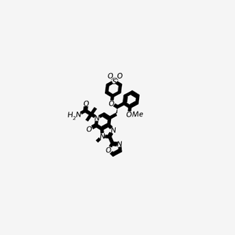 COc1ccccc1[C@H](Cc1cn(C(C)(C)C(N)=O)c(=O)c2c1nc(-c1ncco1)n2C)OC1CCS(=O)(=O)CC1